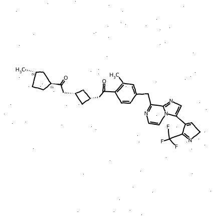 Cc1cc(Cc2nccn3c(C4=CCN=C4C(F)(F)F)cnc23)ccc1C(=O)C[C@H]1C[C@@H](CC(=O)[C@H]2CC[C@H](C)C2)C1